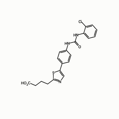 O=C(O)CCCc1ncc(-c2ccc(NC(=O)Nc3ccccc3Cl)cc2)s1